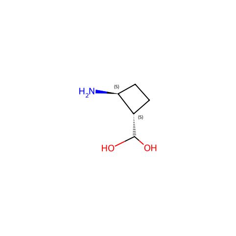 N[C@H]1CC[C@@H]1C(O)O